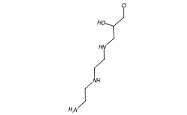 NCCNCCNCC(O)CCl